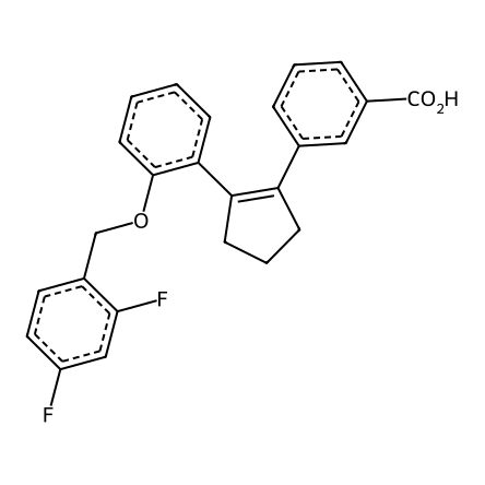 O=C(O)c1cccc(C2=C(c3ccccc3OCc3ccc(F)cc3F)CCC2)c1